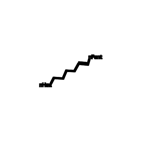 CCCCCC=CCCCCCCCCCC